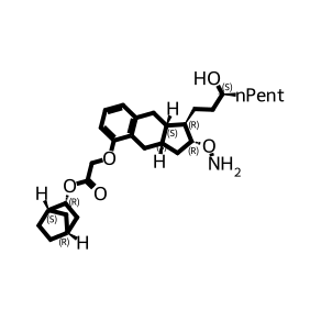 CCCCC[C@H](O)CC[C@@H]1[C@H]2Cc3cccc(OCC(=O)O[C@@H]4C[C@@H]5CC[C@H]4C5)c3C[C@H]2C[C@H]1ON